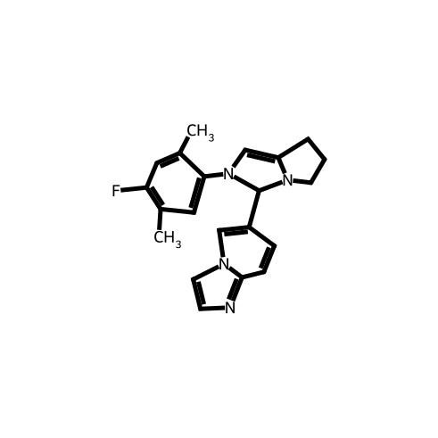 Cc1cc(N2C=C3CCCN3C2c2ccc3nccn3c2)c(C)cc1F